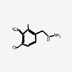 Cc1c(CNN)ccc(Cl)c1Cl